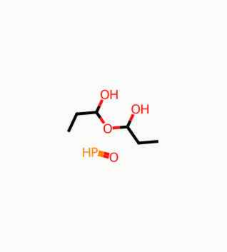 CCC(O)OC(O)CC.O=P